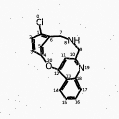 Clc1ccc2cc1CNCc1cc(c3ccccc3n1)O2